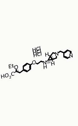 CCO[C@@H](Cc1ccc(OCCN[C@H]2[C@@H]3CN(Cc4ccncc4)C[C@@H]32)cc1)C(=O)O.Cl.Cl.Cl